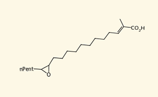 CCCCCC1OC1CCCCCCCCC/C=C(\C)C(=O)O